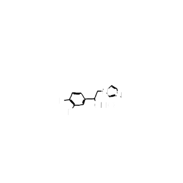 O=CC(Cn1ccnc1)c1ccc(F)c(F)c1